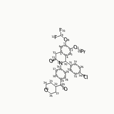 CC(C)Oc1cc2c(cc1OC(F)F)CC(=O)N(c1ccc(C(=O)C3CCOCC3)cc1)C2c1ccc(Cl)cc1